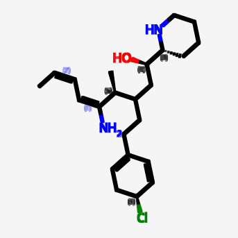 C/C=C\C=C(\N)[C@@H](C)C(CCC1=CC[C@H](Cl)C=C1)C[C@@H](O)[C@H]1CCCCN1